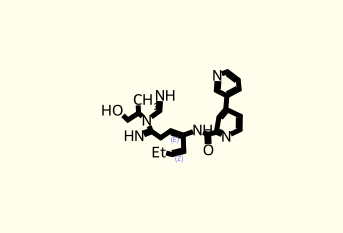 CC/C=C\C(=C/CC(=N)N(C=N)C(C)CO)NC(=O)c1cc(-c2cccnc2)ccn1